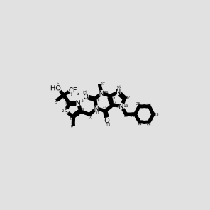 Cc1sc(C(C)(O)C(F)(F)F)nc1Cn1c(=O)c2c(ncn2CC2CCCCC2)n(C)c1=O